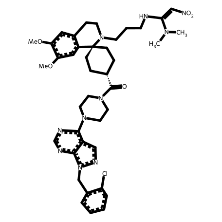 COc1cc2c(cc1OC)[C@]1(CC[C@@H](C(=O)N3CCN(c4ncnc5c4cnn5Cc4ccccc4Cl)CC3)CC1)N(CCCNC(=C[N+](=O)[O-])N(C)C)CC2